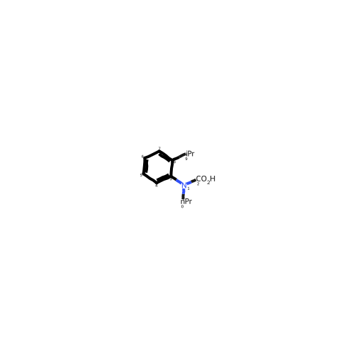 CCCN(C(=O)O)c1ccccc1C(C)C